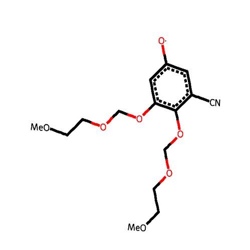 COCCOCOc1cc([O])cc(C#N)c1OCOCCOC